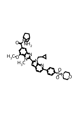 COc1cc(C(=O)N2CC3CCC2C3N)cc2nc(-c3cc4ccc(-c5ccc(S(=O)(=O)N6CCOCC6)cc5)nc4n3CC3CC3)n(C)c12